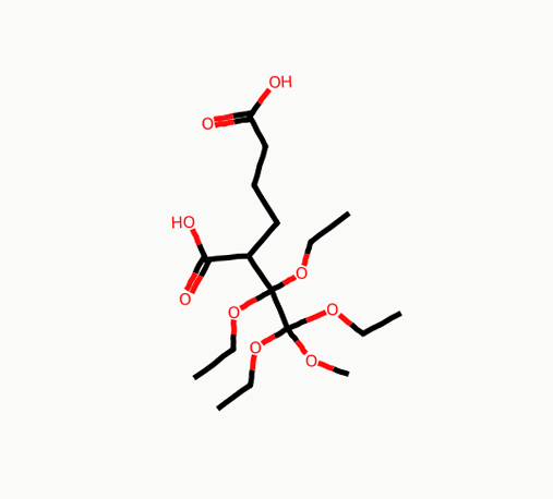 CCOC(OC)(OCC)C(OCC)(OCC)C(CCCC(=O)O)C(=O)O